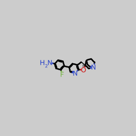 Nc1ccc(-c2cnc3c(c2)C[C@@]2(CN4CCC2CC4)O3)c(F)c1